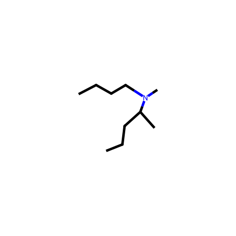 CCCCN(C)C(C)CCC